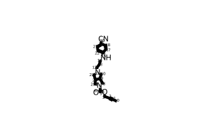 CC#CCOC(=O)N1CC2CN(CCCNc3ccc(C#N)cc3)CC2C1